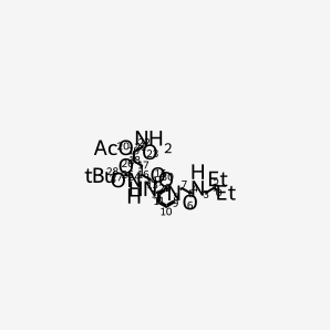 CCC(CC)CNC(=O)Cn1cccc(NC(=O)[C@H](CCC(OC(C)=O)C(N)=O)NC(=O)OC(C)(C)C)c1=O